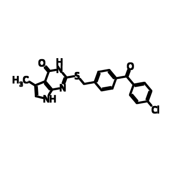 Cc1c[nH]c2nc(SCc3ccc(C(=O)c4ccc(Cl)cc4)cc3)[nH]c(=O)c12